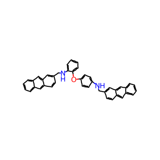 c1ccc(Oc2ccc(NCc3ccc4cc5ccccc5cc4c3)cc2)c(NCc2ccc3cc4ccccc4cc3c2)c1